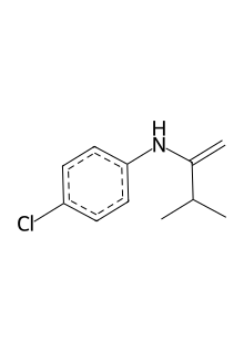 C=C(Nc1ccc(Cl)cc1)C(C)C